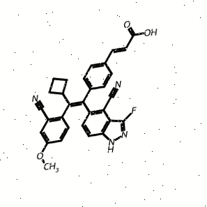 COc1ccc(C(=C(c2ccc(C=CC(=O)O)cc2)c2ccc3[nH]nc(F)c3c2C#N)C2CCC2)c(C#N)c1